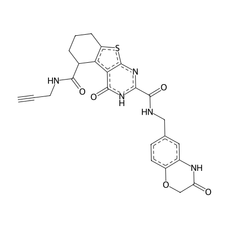 C#CCNC(=O)C1CCCc2sc3nc(C(=O)NCc4ccc5c(c4)NC(=O)CO5)[nH]c(=O)c3c21